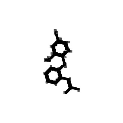 CC(C)=Cc1ccccc1Oc1nnc(Cl)cc1O